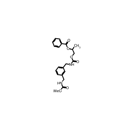 COC(=O)NCc1cccc(CNC(=O)OCC(C)OC(=O)c2ccccc2)c1